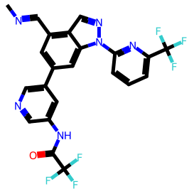 C/N=C/c1cc(-c2cncc(NC(=O)C(F)(F)F)c2)cc2c1cnn2-c1cccc(C(F)(F)F)n1